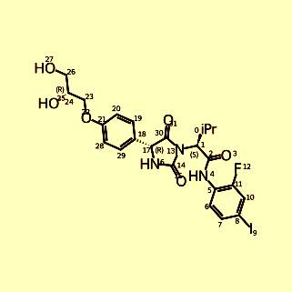 CC(C)[C@@H](C(=O)Nc1ccc(I)cc1F)N1C(=O)N[C@H](c2ccc(OC[C@H](O)CO)cc2)C1=O